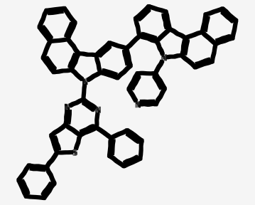 c1ccc(-c2cc3nc(-n4c5ccc(-c6cccc7c8c9ccccc9ccc8n(-c8ccncc8)c67)cc5c5c6ccccc6ccc54)nc(-c4ccccc4)c3s2)cc1